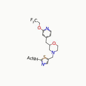 CC(=O)Nc1ncc(CN2CCOC(Cc3ccnc(OCC(F)(F)F)c3)C2)s1